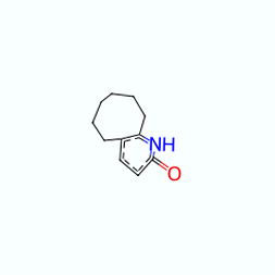 O=c1ccc2c([nH]1)CCCCCC2